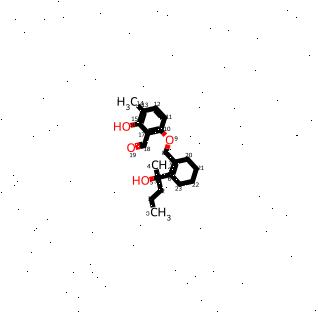 CCCC(C)(O)C1=C(COc2ccc(C)c(O)c2C=O)CCCC1